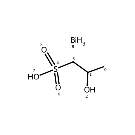 CC(O)CS(=O)(=O)O.[BiH3]